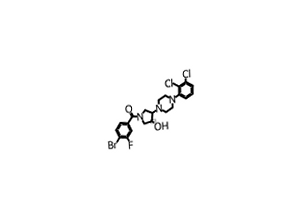 O=C(c1ccc(Br)c(F)c1)N1CC(N2CCN(c3cccc(Cl)c3Cl)CC2)[C@@H](O)C1